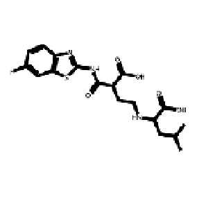 CC(C)CC(NCCC(C(=O)O)C(=O)Nc1nc2ccc(F)cc2s1)C(=O)O